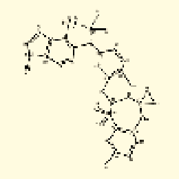 CCn1nnc2c(C)c([C@@H](c3cc(CN4CC5(CC5)Oc5ncc(C)cc5S4(=O)=O)c(C)cn3)C(C)(C)C(=O)O)ccc21